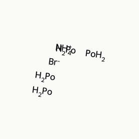 [Br-].[NH4+].[PoH2].[PoH2].[PoH2].[PoH2]